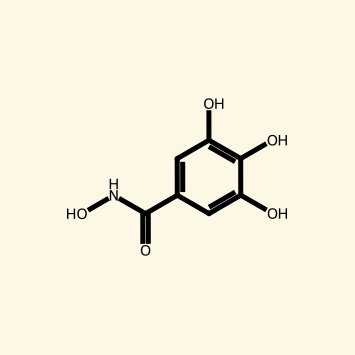 O=C(NO)c1cc(O)c(O)c(O)c1